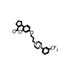 O=c1oc2cc(OCCCN3CCN(c4cccc(C(F)(F)F)c4)CC3)ccc2c2c1CCC2